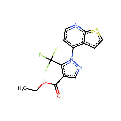 CCOC(=O)c1cnn(-c2ccnc3sccc23)c1C(F)(F)F